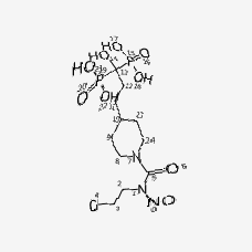 O=NN(CCCl)C(=O)N1CCC(CCC(O)(P(=O)(O)O)P(=O)(O)O)CC1